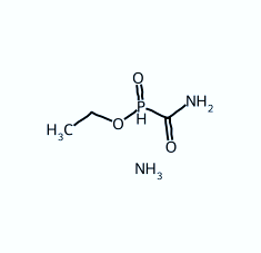 CCO[PH](=O)C(N)=O.N